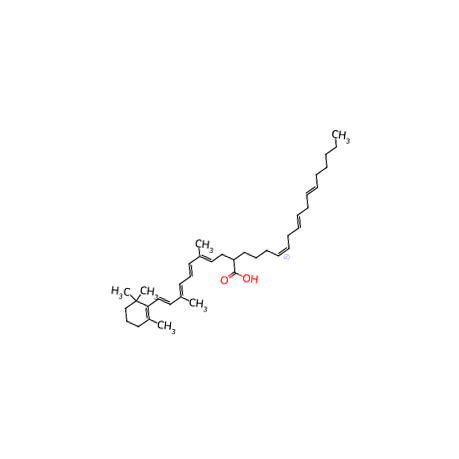 CCCCCC=CCC=CC/C=C\CCCC(CC=C(C)C=CC=C(C)C=CC1=C(C)CCCC1(C)C)C(=O)O